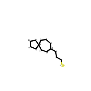 SCCCC1CCCC2(CCCC2)CC1